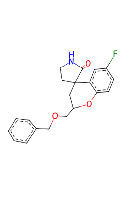 O=C1NCCC12CC(COCc1ccccc1)Oc1ccc(F)cc12